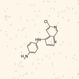 Nc1ccc(Nc2ccnc3cnc(Cl)cc23)cc1